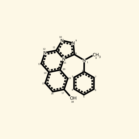 CN(c1ccccc1)c1nnc2ncc3ccc(O)cc3n12